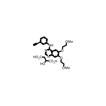 C#Cc1cccc(Nc2ncnc3cc(OCCOC)c(OCCOC)cc23)c1.O=C(O)CC(O)C(=O)O